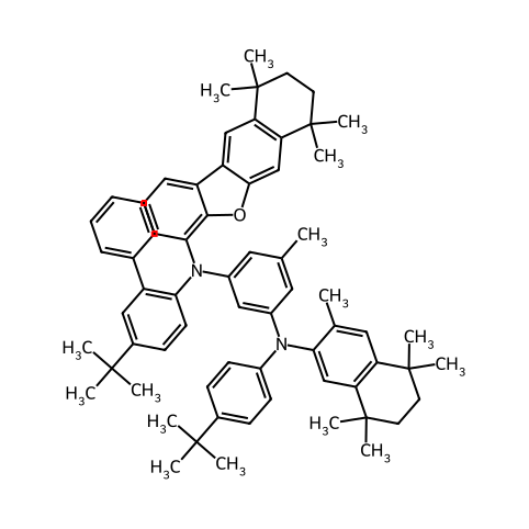 Cc1cc(N(c2ccc(C(C)(C)C)cc2)c2cc3c(cc2C)C(C)(C)CCC3(C)C)cc(N(c2ccc(C(C)(C)C)cc2-c2ccccc2)c2cccc3c2oc2cc4c(cc23)C(C)(C)CCC4(C)C)c1